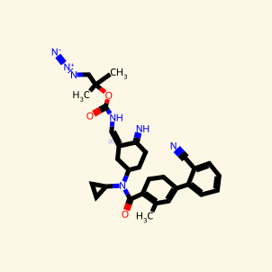 CC1=C(C(=O)N(C2CC2)C2CCC(=N)/C(=C\NC(=O)OC(C)(C)CN=[N+]=[N-])C2)CCC(c2ccccc2C#N)=C1